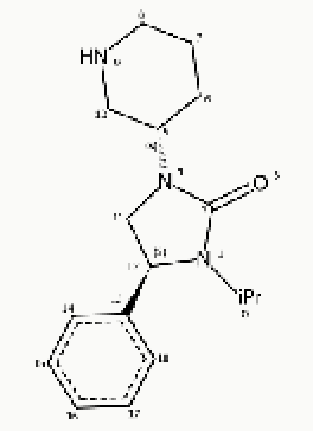 CC(C)N1C(=O)N([C@H]2CCCNC2)C[C@@H]1c1ccccc1